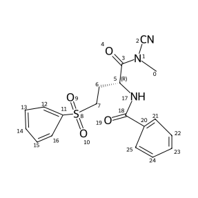 CN(C#N)C(=O)[C@@H](CCS(=O)(=O)c1ccccc1)NC(=O)c1ccccc1